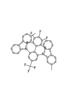 Cc1ccc2c3ccccc3n(-c3cc(C(F)(F)F)cc(-n4c5ccccc5c5ccc(C)cc54)c3-c3c(F)c(F)c(F)c(F)c3F)c2c1